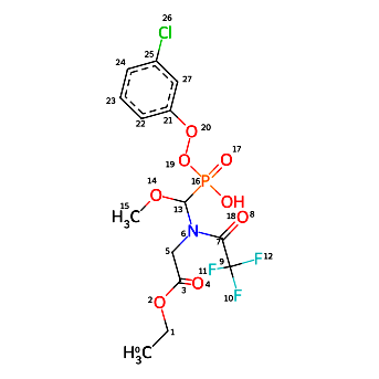 CCOC(=O)CN(C(=O)C(F)(F)F)C(OC)P(=O)(O)OOc1cccc(Cl)c1